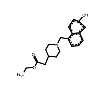 CCOC(=O)CC1CCN(Cc2cccc3cc(O)ccc23)CC1